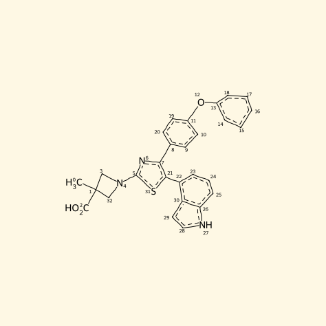 CC1(C(=O)O)CN(c2nc(-c3ccc(Oc4ccccc4)cc3)c(-c3cccc4[nH]ccc34)s2)C1